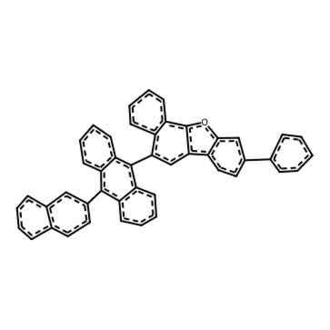 c1ccc(-c2ccc3c(c2)oc2c4ccccc4c(-c4c5ccccc5c(-c5ccc6ccccc6c5)c5ccccc45)cc32)cc1